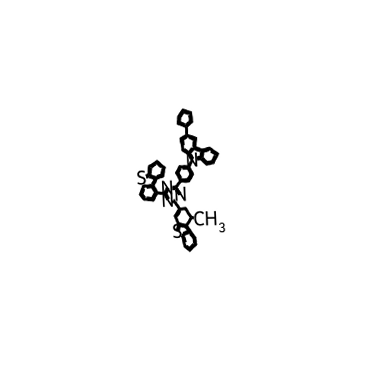 CC1CC(c2nc(-c3ccc(-n4c5ccccc5c5cc(-c6ccccc6)ccc54)cc3)nc(-c3cccc4sc5ccccc5c34)n2)=Cc2sc3ccccc3c21